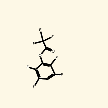 O=C(Oc1c(F)c(F)cc(F)c1F)C(F)(F)F